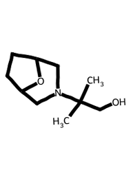 CC(C)(CO)N1CC2CCC(C1)O2